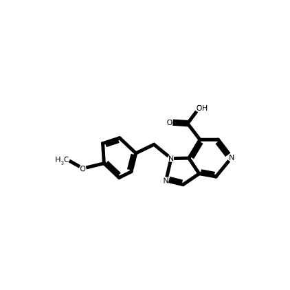 COc1ccc(Cn2ncc3cncc(C(=O)O)c32)cc1